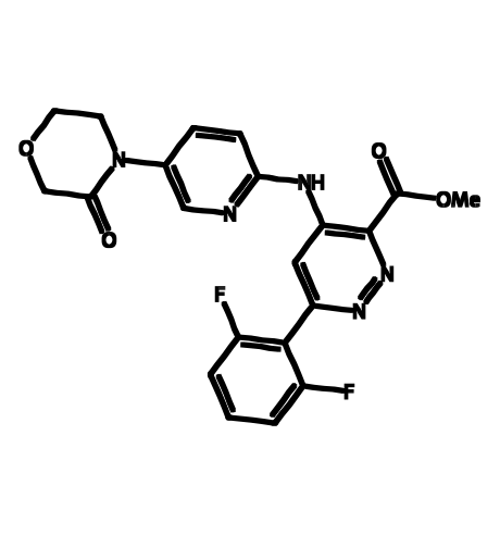 COC(=O)c1nnc(-c2c(F)cccc2F)cc1Nc1ccc(N2CCOCC2=O)cn1